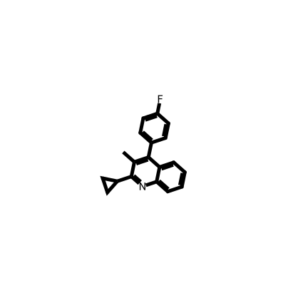 Cc1c(C2CC2)nc2ccccc2c1-c1ccc(F)cc1